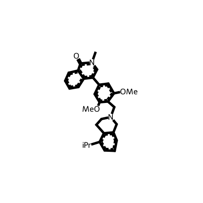 COc1cc(-c2cn(C)c(=O)c3ccccc23)cc(OC)c1CN1CCc2c(cccc2C(C)C)C1